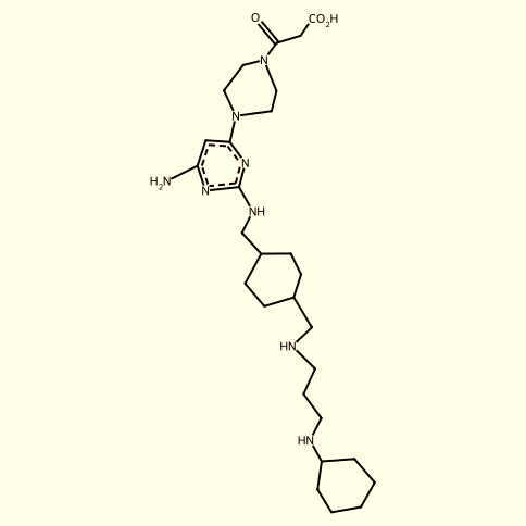 Nc1cc(N2CCN(C(=O)CC(=O)O)CC2)nc(NCC2CCC(CNCCCNC3CCCCC3)CC2)n1